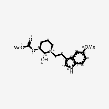 COC(=O)O[C@H]1CCCN(CCc2c[nH]c3ccc(OC)cc23)[C@@H]1O